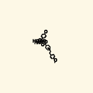 COc1ccc(CCN2CCC(C(=O)ON(NO)S(=O)(=O)c3ccc(OC)cc3)CC2)cc1